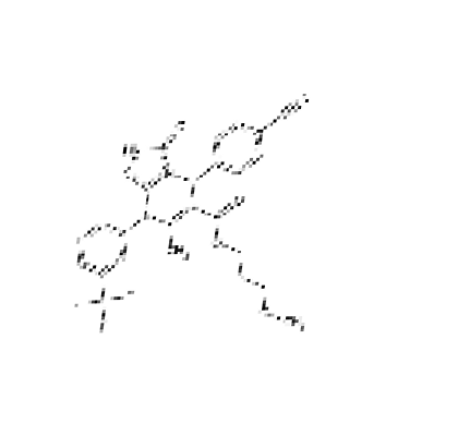 COCCCOC(=O)C1=C(C)N(c2cccc(C(F)(F)F)c2)c2n[nH]c(=O)n2C1c1ccc(C#N)cc1